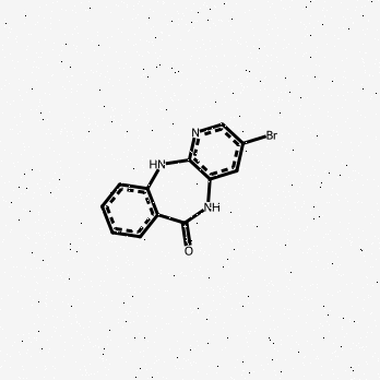 O=C1Nc2cc(Br)cnc2Nc2ccccc21